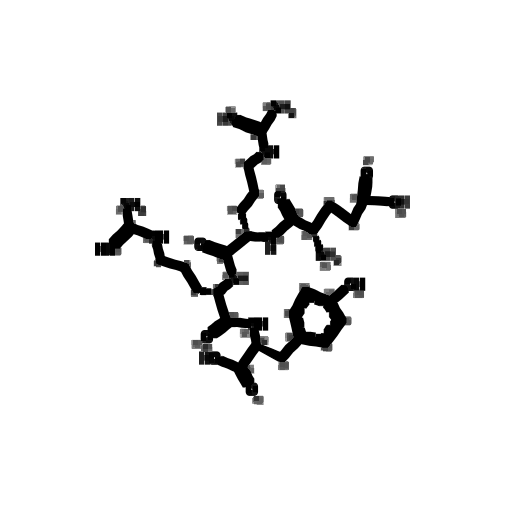 N=C(N)NCCC[C@H](NC(=O)[C@H](CCCNC(=N)N)NC(=O)[C@@H](N)CCC(=O)O)C(=O)N[C@@H](Cc1ccc(O)cc1)C(=O)O